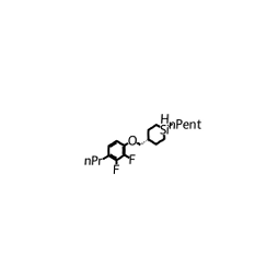 CCCCC[Si@H]1CC[C@H](COc2ccc(CCC)c(F)c2F)CC1